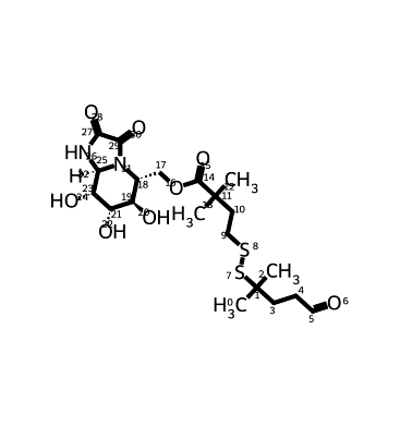 CC(C)(CCC=O)SSCCC(C)(C)C(=O)OC[C@@H]1[C@@H](O)[C@H](O)[C@H](O)[C@H]2NC(=O)C(=O)N12